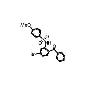 COc1ccc(S(=O)(=O)Nc2cc(Br)ccc2C(=O)c2ccccc2)cc1